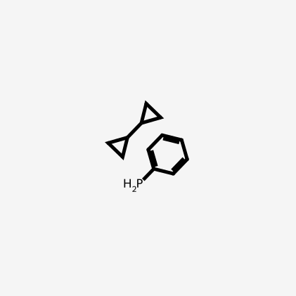 C1CC1C1CC1.Pc1ccccc1